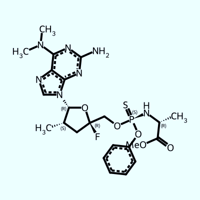 COC(=O)[C@@H](C)N[P@](=S)(OC[C@]1(F)C[C@H](C)[C@H](n2cnc3c(N(C)C)nc(N)nc32)O1)Oc1ccccc1